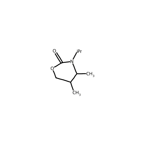 CC1COC(=O)N(C(C)C)C1C